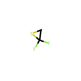 FC1(F)CS1